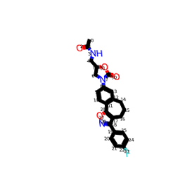 CC(=O)NCC1CN(c2ccc3c(c2)CCCc2c(-c4ccc(F)cc4)noc2-3)C(=O)O1